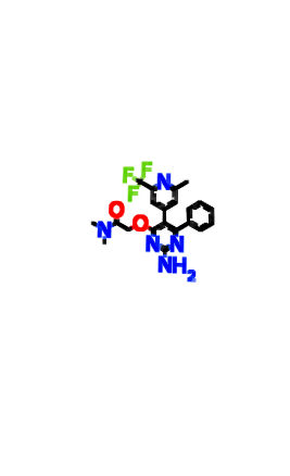 Cc1cc(-c2c(OCC(=O)N(C)C)nc(N)nc2-c2ccccc2)cc(C(F)(F)F)n1